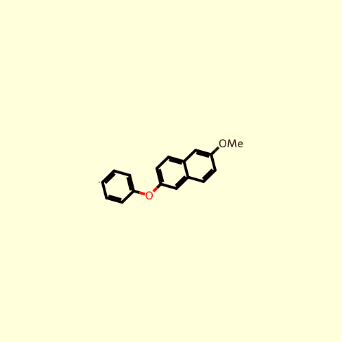 COc1ccc2cc(Oc3cc[c]cc3)ccc2c1